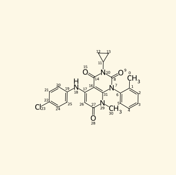 Cc1ccccc1-n1c(=O)n(C2CC2)c(=O)c2c(Nc3ccc(Cl)cc3)cc(=O)n(C)c21